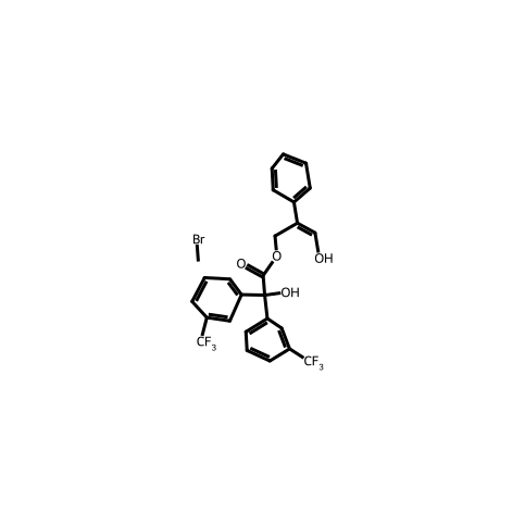 CBr.O=C(OCC(=CO)c1ccccc1)C(O)(c1cccc(C(F)(F)F)c1)c1cccc(C(F)(F)F)c1